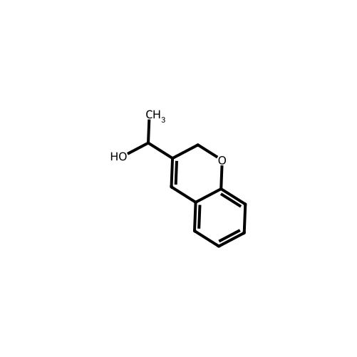 CC(O)C1=Cc2ccccc2OC1